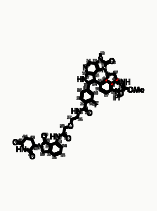 COC(=O)N[C@@H]1CC[C@@H](n2c(=O)n(C)c3cnc4[nH]c(-c5ccc(C(=O)NCCOCC(=O)Nc6cccc7c6C(=O)N(C6CCC(=O)NC6=O)C7)c(F)c5)c(-c5ccc6c(cnn6C(C)C)c5)c4c32)C1